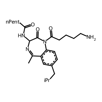 CCCCCC(=O)NC1N=C(C)c2cc(CC(C)C)ccc2N(C(=O)CCCCN)C1=O